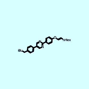 CCCCCCC=COc1ccc(-c2ncc(-c3ccc(CC(C)CC)cc3)cn2)cc1